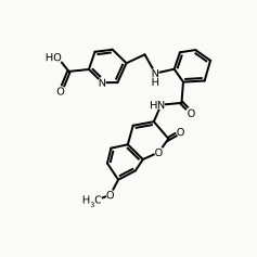 COc1ccc2cc(NC(=O)c3ccccc3NCc3ccc(C(=O)O)nc3)c(=O)oc2c1